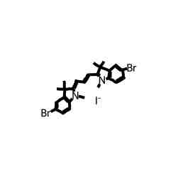 CN1C(=CC=CC2=[N+](C)c3ccc(Br)cc3C2(C)C)C(C)(C)c2cc(Br)ccc21.[I-]